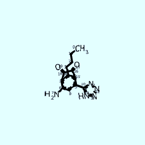 CCCCc1c2c(N)cc(-c3nnn[nH]3)c1C(=O)C2=O